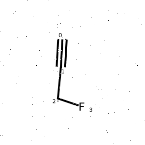 [C]#C[CH]F